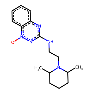 CC1CCCC(C)N1CCNc1nc2ccccc2[n+]([O-])n1